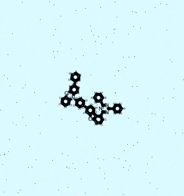 c1ccc(-c2ccc3c(c2)Oc2ccccc2N3c2ccc(-c3ccc4c(c3)oc3cccc(-c5nc(-c6ccccc6)nc(-c6ccccc6)n5)c34)cc2)cc1